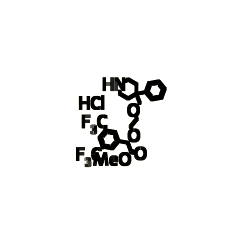 COC(=O)C(OCCOCC1(c2ccccc2)CCNCC1)c1cc(C(F)(F)F)cc(C(F)(F)F)c1.Cl